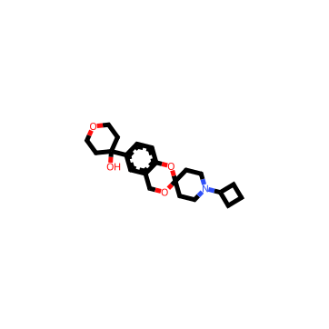 OC1(c2ccc3c(c2)COC2(CCN(C4CCC4)CC2)O3)CCOCC1